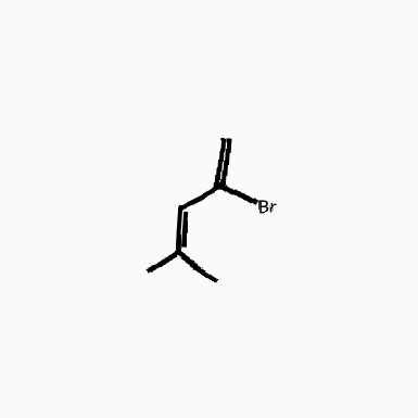 C=C(Br)C=C(C)C